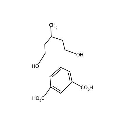 CC(CCO)CCO.O=C(O)c1cccc(C(=O)O)c1